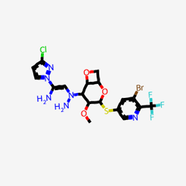 COC1C(Sc2cnc(C(F)(F)F)c(Br)c2)OC2COC2C1N(N)/C=C(\N)n1ccc(Cl)n1